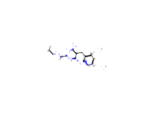 C/C=C\N=C(/CC)c1nc(N)c(Cc2ccc(OC)cc2OC)c(N)n1